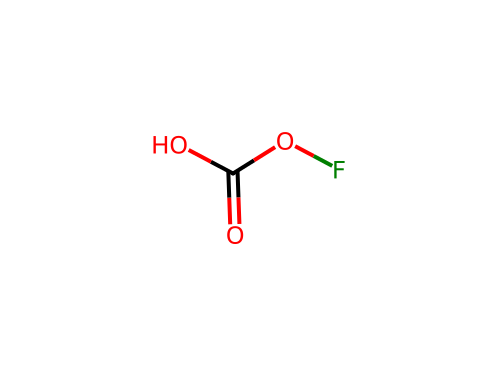 O=C(O)OF